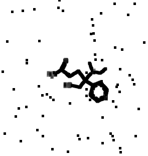 CCN(C)C(CO)(CCC(N)=O)c1ccncc1